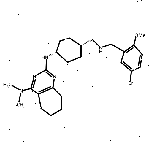 COc1ccc(Br)cc1CNC[C@H]1CC[C@@H](Nc2nc3c(c(N(C)C)n2)CCCC3)CC1